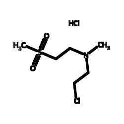 CN(CCCl)CCS(C)(=O)=O.Cl